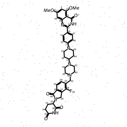 COc1cc(OC)c2c(=O)[nH]c(-c3ccc(N4CCC(N5CCN(Cc6ccc7c(c6F)CN(C6CCC(=O)NC6=O)C7=O)CC5)CC4)cc3)nc2c1